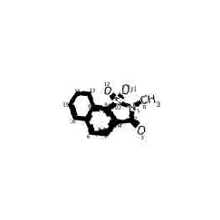 CN1C(=O)c2ccc3c(c2S1(=O)=O)CCC=C3